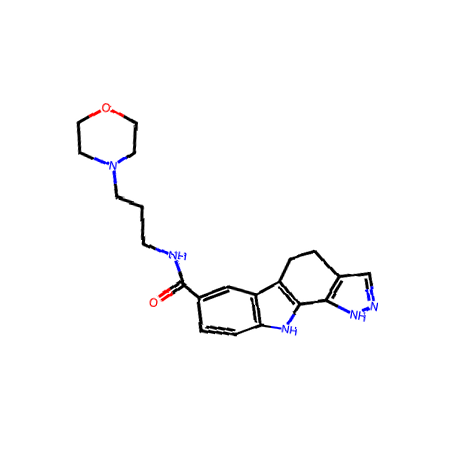 O=C(NCCCN1CCOCC1)c1ccc2[nH]c3c(c2c1)CCc1cn[nH]c1-3